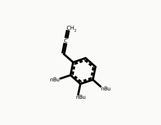 C=C=Cc1ccc(CCCC)c(CCCC)c1CCCC